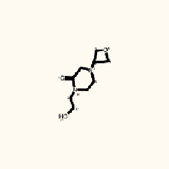 O=C1CN(C2COC2)CCN1CCO